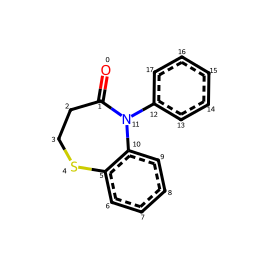 O=C1CCSc2ccccc2N1c1ccccc1